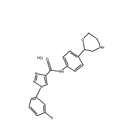 Cl.O=C(Nc1ccc(C2CNCCO2)cc1)c1cn(-c2cccc(F)c2)nn1